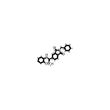 O=C(Nc1ccccc1C(=O)O)c1ccc2c(c1)C(=O)N(Cc1ccccc1)C2=O